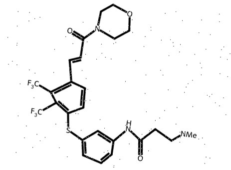 CNCCC(=O)Nc1cccc(Sc2ccc(C=CC(=O)N3CCOCC3)c(C(F)(F)F)c2C(F)(F)F)c1